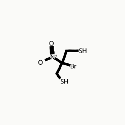 O=[N+]([O-])C(Br)(CS)CS